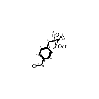 CCCCCCCCP(=O)(CCCCCCCC)Cc1ccc(CCl)cc1